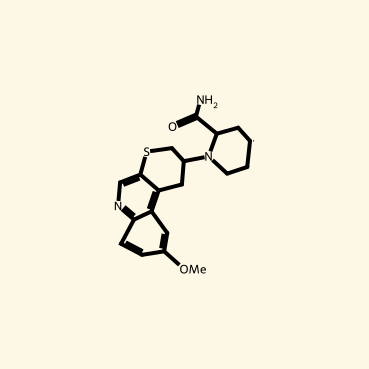 COc1ccc2ncc3c(c2c1)CC(N1CC[CH]CC1C(N)=O)CS3